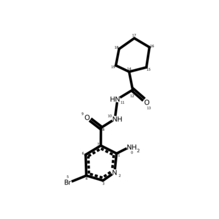 Nc1ncc(Br)cc1C(=O)NNC(=O)C1CCCCC1